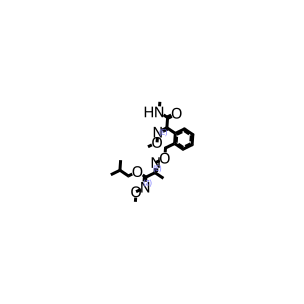 CNC(=O)/C(=N/OC)c1ccccc1CO/N=C(C)/C(=N/OC)OCC(C)C